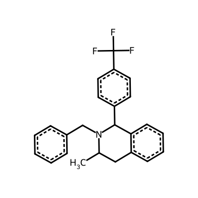 CC1Cc2ccccc2C(c2ccc(C(F)(F)F)cc2)N1Cc1ccccc1